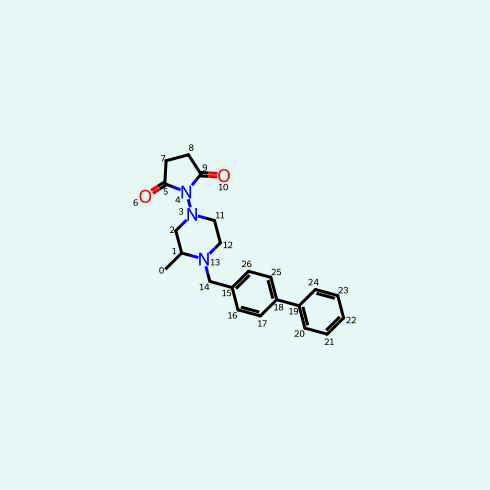 CC1CN(N2C(=O)CCC2=O)CCN1Cc1ccc(-c2ccccc2)cc1